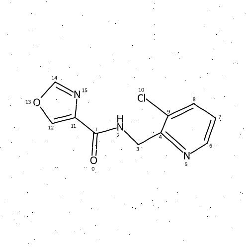 O=C(NCc1ncccc1Cl)c1cocn1